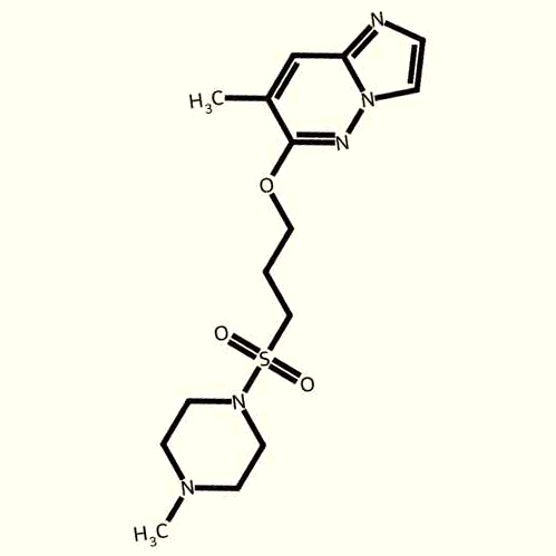 Cc1cc2nccn2nc1OCCCS(=O)(=O)N1CCN(C)CC1